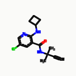 C#CC(C)(C)NC(=O)c1cc(Cl)cnc1NC1CCC1